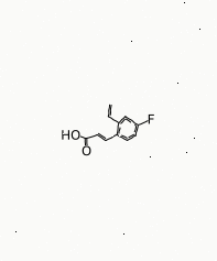 C=Cc1cc(F)ccc1/C=C/C(=O)O